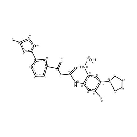 Cc1cc(-c2cccc(C(=O)CC(=O)Nc3cc(F)c(N4CCCC4)cc3NC(=O)O)c2)on1